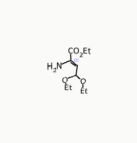 CCOC(=O)/C(N)=C/C(OCC)OCC